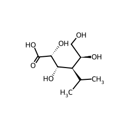 CC(C)[C@@H]([C@H](O)[C@@H](O)C(=O)O)[C@H](O)CO